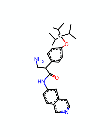 CC(C)[Si](Oc1ccc(C(CN)C(=O)Nc2ccc3cnccc3c2)cc1)(C(C)C)C(C)C